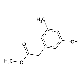 COC(=O)Cc1cc(C)cc(O)c1